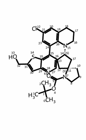 CC(C)(C)OC(=O)N1CCC[C@@]12CC[C@H](N1CCCc3cc(Cl)cc(-c4ccnc5cc(CO)sc45)c31)C2